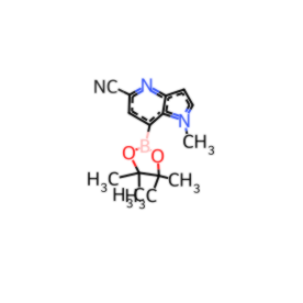 Cn1ccc2nc(C#N)cc(B3OC(C)(C)C(C)(C)O3)c21